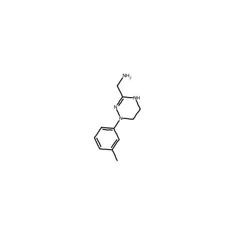 Cc1cccc(N2CCNC(CN)=N2)c1